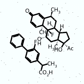 CC(=O)[C@@]1(O)CC[C@H]2[C@@H]3C[C@H](C)C4=CC(=O)C=C[C@]4(C)[C@@]3(F)[C@@H](O)C[C@@]21C.CC(C(=O)O)c1ccc(-c2ccccc2)c(F)c1